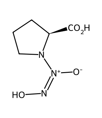 O=C(O)[C@@H]1CCCN1/[N+]([O-])=N\O